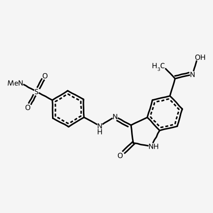 CNS(=O)(=O)c1ccc(N/N=C2\C(=O)Nc3ccc(/C(C)=N/O)cc32)cc1